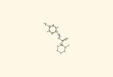 CC1CCCCN1C(=O)/C=C/c1ccc(F)cc1